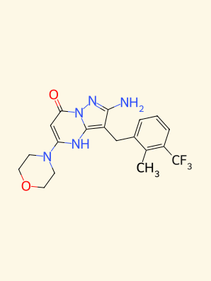 Cc1c(Cc2c(N)nn3c(=O)cc(N4CCOCC4)[nH]c23)cccc1C(F)(F)F